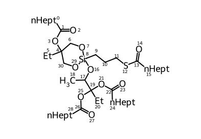 CCCCCCCC(=O)OC1(CC)CO[Si](CCCSC(=O)CCCCCCC)(OC(C)C(CC)(OC(=O)CCCCCCC)OC(=O)CCCCCCC)OC1